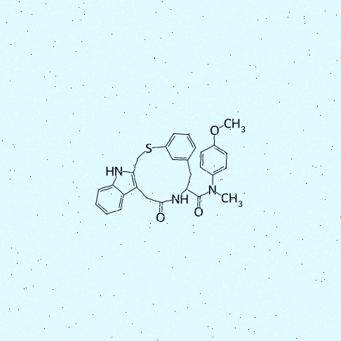 COc1ccc(N(C)C(=O)C2Cc3cccc(c3)SCc3[nH]c4ccccc4c3CC(=O)N2)cc1